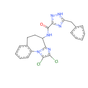 O=C(NC1CCc2ccccc2-n2c1nc(Cl)c2Cl)c1n[nH]c(Cc2ccccc2)n1